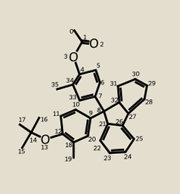 CC(=O)Oc1ccc(C2(c3ccc(OC(C)(C)C)c(C)c3)c3ccccc3-c3ccccc32)cc1C